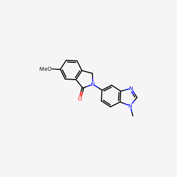 COc1ccc2c(c1)C(=O)N(c1ccc3c(c1)ncn3C)C2